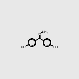 NN=C(c1ccc(O)cc1)c1ccc(O)cc1